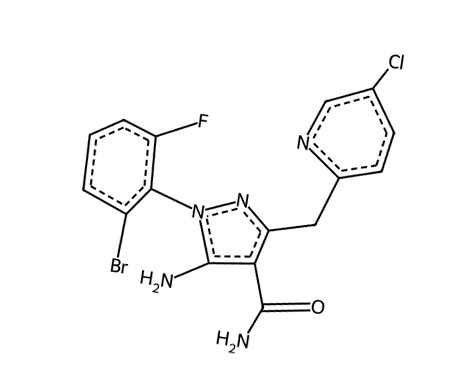 NC(=O)c1c(Cc2ccc(Cl)cn2)nn(-c2c(F)cccc2Br)c1N